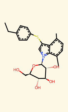 CCc1ccc(Sc2cn([C@@H]3O[C@H](CO)[C@@H](O)[C@H](O)[C@H]3O)c3c(C)ccc(C)c23)cc1